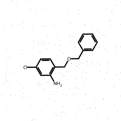 Nc1cc(Cl)ccc1COCc1ccccc1